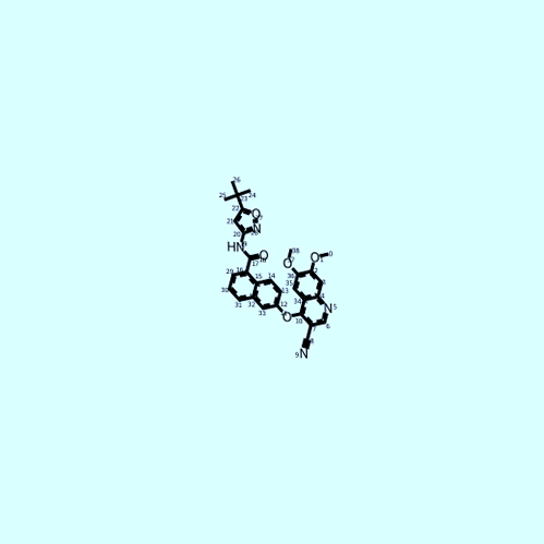 COc1cc2ncc(C#N)c(Oc3ccc4c(C(=O)Nc5cc(C(C)(C)C)on5)cccc4c3)c2cc1OC